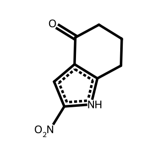 O=C1CCCc2[nH]c([N+](=O)[O-])cc21